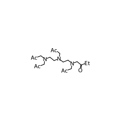 CCC(=O)CN(CCN(CCN(CC(C)=O)CC(C)=O)CC(C)=O)CC(C)=O